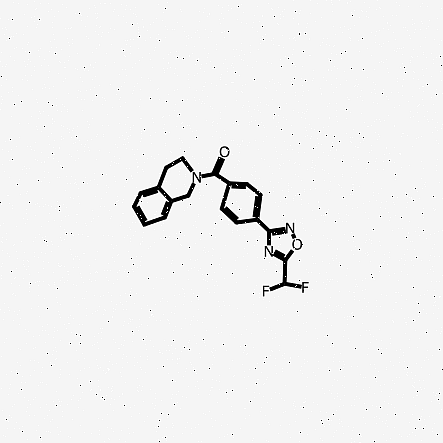 O=C(c1ccc(-c2noc(C(F)F)n2)cc1)N1CCc2ccccc2C1